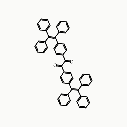 O=C(C(=O)c1ccc(C(=C(c2ccccc2)c2ccccc2)c2ccccc2)cc1)c1ccc(C(=C(c2ccccc2)c2ccccc2)c2ccccc2)cc1